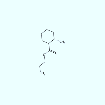 CCCOC(=O)C1CCCC[C@@H]1C